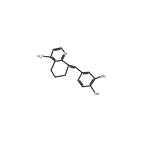 Cc1ccnc2c1CCC/C2=C\c1ccc(O)c(O)c1